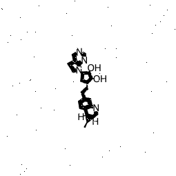 C[C@@H]1[C@@H]2C=Nc3cc(CC[C@H]4C[C@@H](n5ccc6cncnc65)[C@H](O)[C@@H]4O)ccc3[C@H]12